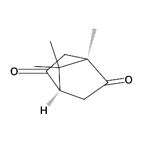 CC1(C)[C@H]2CC(=O)[C@]1(C)CC2=O